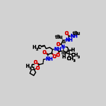 C=CCCC(NC(=O)[C@@H]1[C@@H]2[C@H](CN1C(=O)[C@@H](NC(=O)NC(C)(C)C)C(C)(C)C)C2(C)C)C(=O)C(=O)NCCC(=O)OC1(C)CCCC1